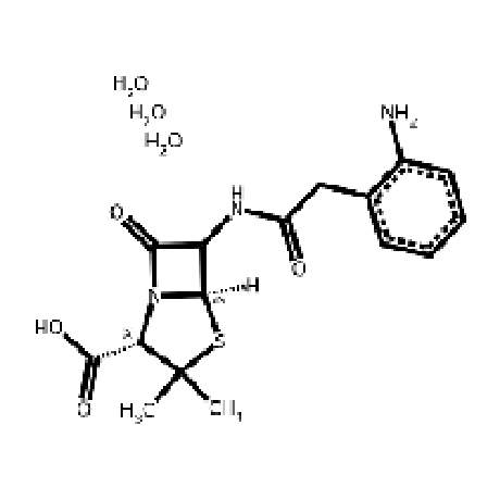 CC1(C)S[C@@H]2C(NC(=O)Cc3ccccc3N)C(=O)N2[C@H]1C(=O)O.O.O.O